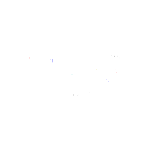 COc1cc(-c2ccc(C3CCN(C4CCOCC4)CC3)c(F)c2)sc1C(=O)N1CC[C@H](NC(=O)OC(C)(C)C)C1